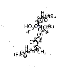 C[n+]1cc(-c2ccc(OC[C@H](O/N=C(\C(=O)O)c3csc(NC(=O)OC(C)(C)C)n3)C(=O)OC(C)(C)C)cc2Cl)cn1CCCNC(=O)OC(C)(C)C.[I-]